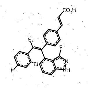 CCC(=C(c1ccc(C=CC(=O)O)cc1)c1cccc2[nH]nc(F)c12)c1ccc(F)cc1Cl